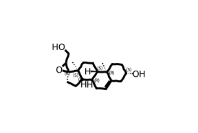 C[C@]12CC[C@H](O)CC1=CC[C@@H]1[C@@H]2CC[C@@]2(C)[C@H]1CC[C@@]21OC1CO